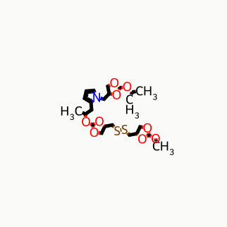 COC1OCC(CSSCC2COC(OC(C)Cc3cccn3CC3COC(OC(C)C)O3)O2)O1